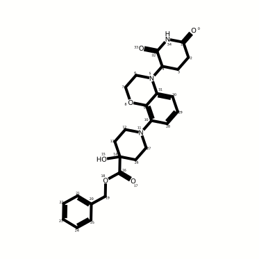 O=C1CCC(N2CCOc3c(N4CCC(O)(C(=O)OCc5ccccc5)CC4)cccc32)C(=O)N1